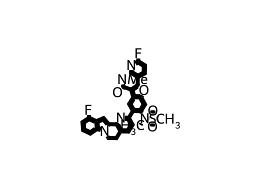 CNC(=O)c1c(-c2ccc(F)nc2)oc2cc(N(C)S(C)(=O)=O)c(-c3ccc4c(n3)-c3cc5c(F)cccc5n3CC4)cc12